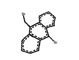 BrCc1c2ccccc2c(Br)c2ccccc12